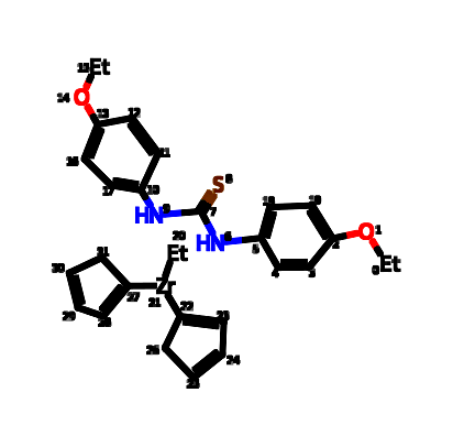 CCOc1ccc(NC(=S)Nc2ccc(OCC)cc2)cc1.C[CH2][Zr]([C]1=CC=CC1)[C]1=CC=CC1